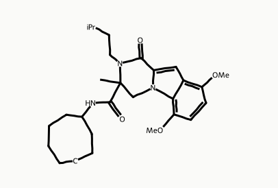 COc1ccc(OC)c2c1cc1n2CC(C)(C(=O)NC2CCCCCCC2)N(CCC(C)C)C1=O